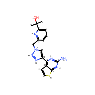 CC(C)(O)c1cccc(Cn2cc(-c3nc(N)nc4sccc34)nn2)n1